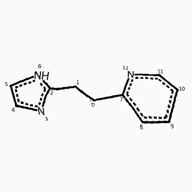 [CH](Cc1ncc[nH]1)c1ccccn1